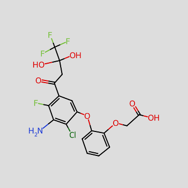 Nc1c(F)c(C(=O)CC(O)(O)C(F)(F)F)cc(Oc2ccccc2OCC(=O)O)c1Cl